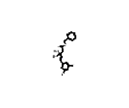 CC(C)C(O)(/C=C/c1cc(F)cc(F)c1)CC(=O)OCc1ccccc1